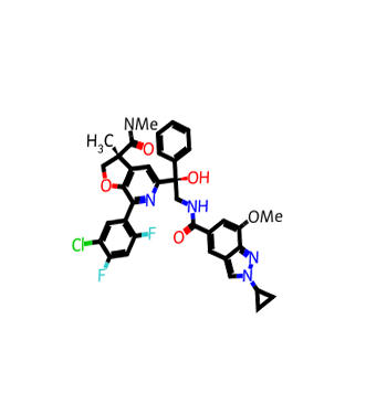 CNC(=O)[C@@]1(C)COc2c1cc([C@@](O)(CNC(=O)c1cc(OC)c3nn(C4CC4)cc3c1)c1ccccc1)nc2-c1cc(Cl)c(F)cc1F